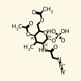 CC(=O)OCC1O[C@H](OP(=O)(O)O)[C@@H](NC(=O)CN=[N+]=[N-])C(C)[C@H]1OC(C)=O